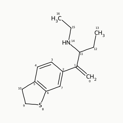 C=C(c1ccc2c(c1)SCC2)C(CC)NCC